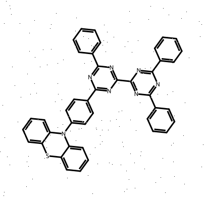 c1ccc(-c2nc(-c3ccccc3)nc(-c3nc(-c4ccccc4)nc(-c4ccc(N5c6ccccc6Sc6ccccc65)cc4)n3)n2)cc1